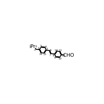 CC(C)Cc1ccc(/C=C/c2ccc(C=O)cc2)cc1